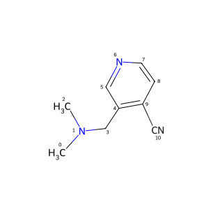 CN(C)Cc1cnccc1C#N